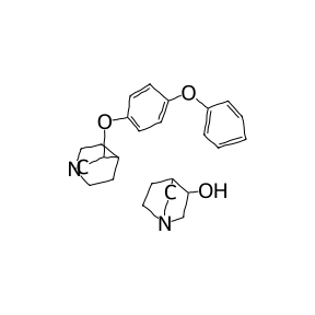 OC1CN2CCC1CC2.c1ccc(Oc2ccc(OC3CN4CCC3CC4)cc2)cc1